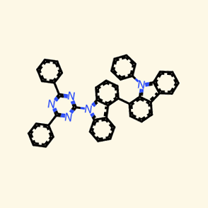 c1ccc(-c2nc(-c3ccccc3)nc(-n3c4ccccc4c4c(-c5cccc6c7ccccc7n(-c7ccccc7)c56)cccc43)n2)cc1